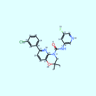 CC1(C)CN(C(=O)Nc2cncc(F)c2)c2nc(-c3cccc(Cl)c3)ccc2O1